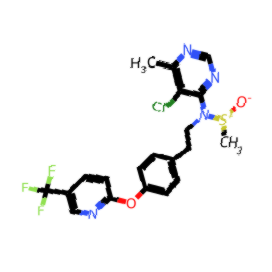 Cc1ncnc(N(CCc2ccc(Oc3ccc(C(F)(F)F)cn3)cc2)[S+](C)[O-])c1Cl